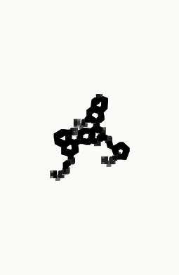 COCOc1cc(N2CCc3c(nc(OC[C@@H]4CCCN4C)nc3N3Cc4ccncc4CC3C)C2)c2c(Cl)cccc2c1